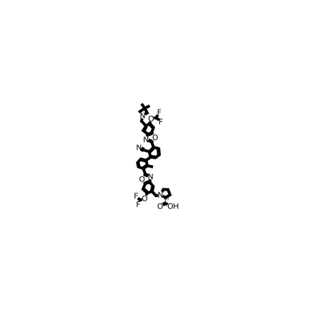 Cc1c(-c2nc3cc(CN4CCC[C@@H]4C(=O)O)c(OC(F)F)cc3o2)cccc1-c1cccc(-c2nc3cc(CN4CC(C)(C)C4)c(OC(F)F)cc3o2)c1C#N